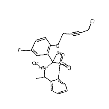 CC1c2ccccc2S(=O)(=O)C(c2cc(F)ccc2OCC#CCCl)(C(C)C)[NH+]1[O-]